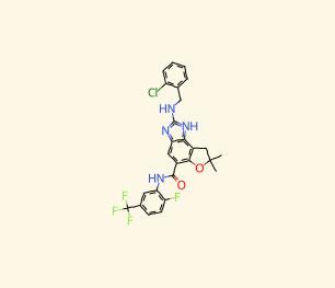 CC1(C)Cc2c(c(C(=O)Nc3cc(C(F)(F)F)ccc3F)cc3nc(NCc4ccccc4Cl)[nH]c23)O1